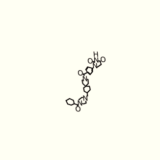 O=C1CCN(c2ccc(C(=O)N3CCC4(CCC(CN5CCN(C(=O)C6CCCCC6)CC5)CC4)CC3)cc2)C(=O)N1